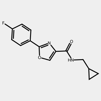 O=C(NCC1CC1)c1coc(-c2ccc(F)cc2)n1